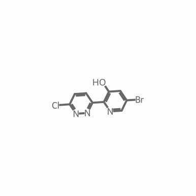 Oc1cc(Br)cnc1-c1ccc(Cl)nn1